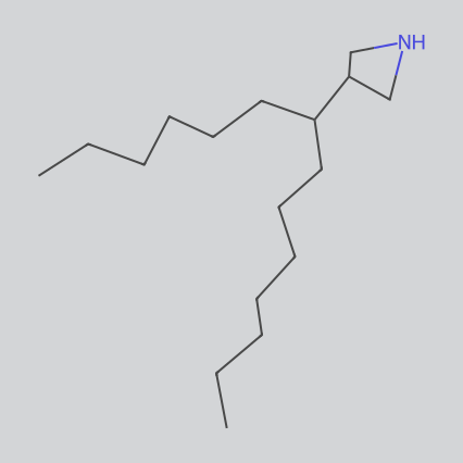 CCCCCCCC(CCCCCC)C1CNC1